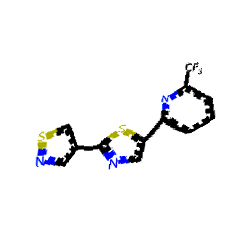 FC(F)(F)c1cccc(-c2cnc(-c3cnsc3)s2)n1